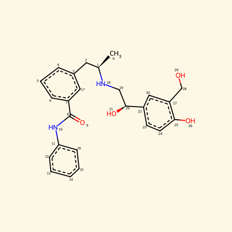 C[C@H](Cc1cccc(C(=O)Nc2ccccc2)c1)NC[C@H](O)c1ccc(O)c(CO)c1